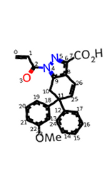 C=CC(=O)n1nc(C(=O)O)c2c1CC(c1ccccc1)(c1cccc(OC)c1)C=C2